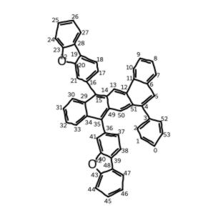 c1ccc(-c2cc3ccccc3c3cc4c(-c5ccc6c(c5)oc5ccccc56)c5ccccc5c(-c5ccc6c(c5)oc5ccccc56)c4cc23)cc1